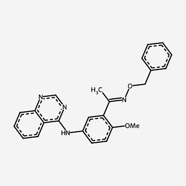 COc1ccc(Nc2ncnc3ccccc23)cc1C(C)=NOCc1ccccc1